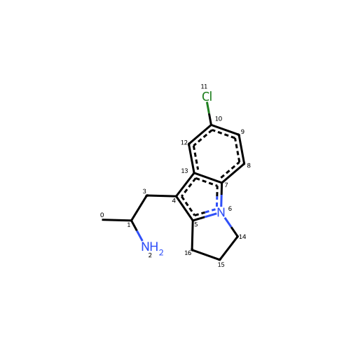 CC(N)Cc1c2n(c3ccc(Cl)cc13)CCC2